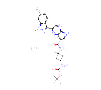 Cl.Cn1nc(-c2cnc3[nH]cc(C(=O)NC4(C)CC(NC(=O)OC(C)(C)C)C4)c3n2)c2ccc(F)cc21